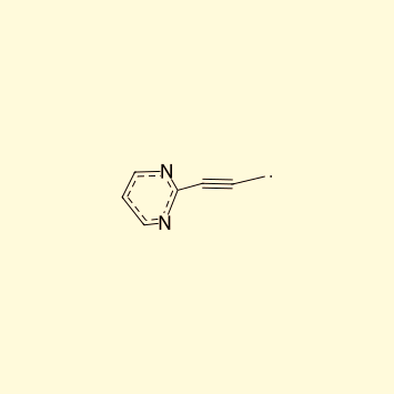 [CH2]C#Cc1ncccn1